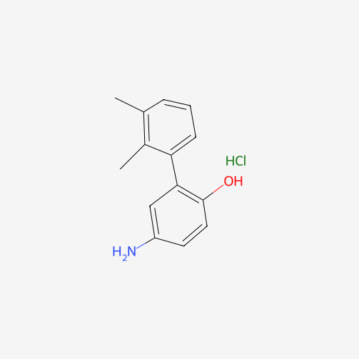 Cc1cccc(-c2cc(N)ccc2O)c1C.Cl